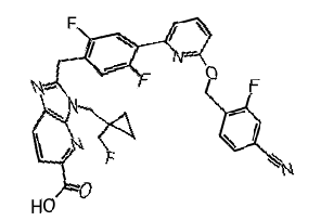 N#Cc1ccc(COc2cccc(-c3cc(F)c(Cc4nc5ccc(C(=O)O)nc5n4CC4(CF)CC4)cc3F)n2)c(F)c1